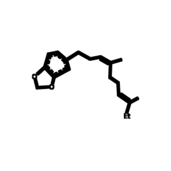 CCC(C)=CCCC(C)=CCCc1ccc2c(c1)OCO2